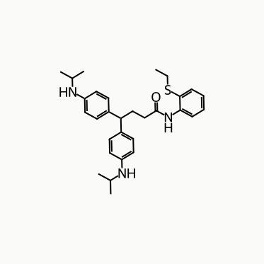 CCSc1ccccc1NC(=O)CCC(c1ccc(NC(C)C)cc1)c1ccc(NC(C)C)cc1